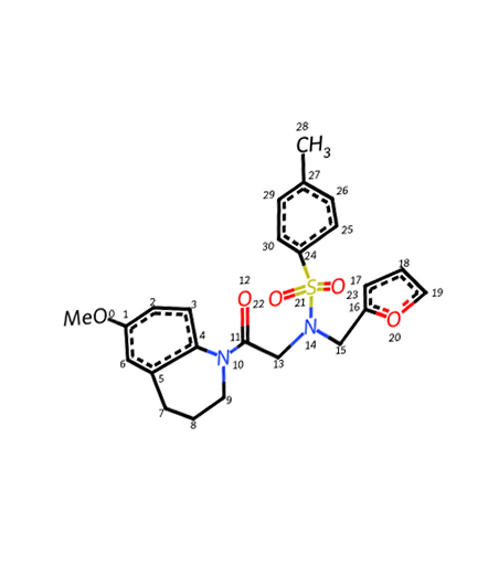 COc1ccc2c(c1)CCCN2C(=O)CN(Cc1ccco1)S(=O)(=O)c1ccc(C)cc1